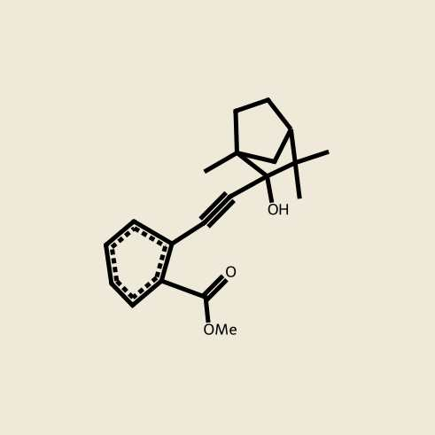 COC(=O)c1ccccc1C#CC1(O)C2(C)CCC(C2)C1(C)C